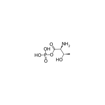 C[C@@H](O)[C@H](N)C(=O)OP(=O)(O)O